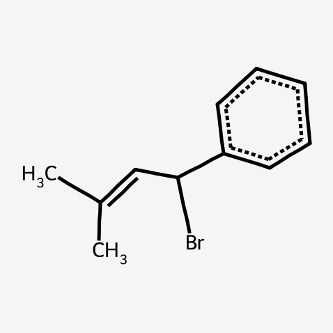 CC(C)=CC(Br)c1ccccc1